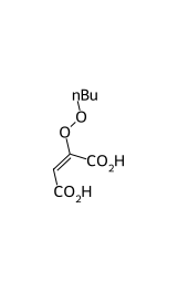 CCCCOO/C(=C/C(=O)O)C(=O)O